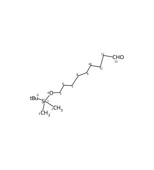 CC(C)(C)[Si](C)(C)OCCCCCCCCC=O